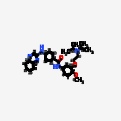 COc1ccc(NC(=O)c2ccc(Nc3cnc4ccccc4n3)cc2)cc1OCCN(C(C)C)C(C)C